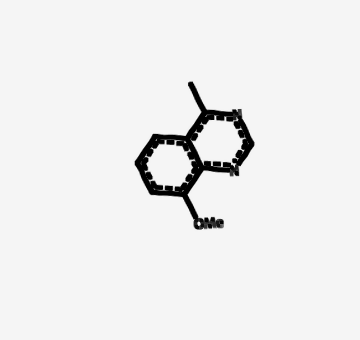 COc1cccc2c(C)ncnc12